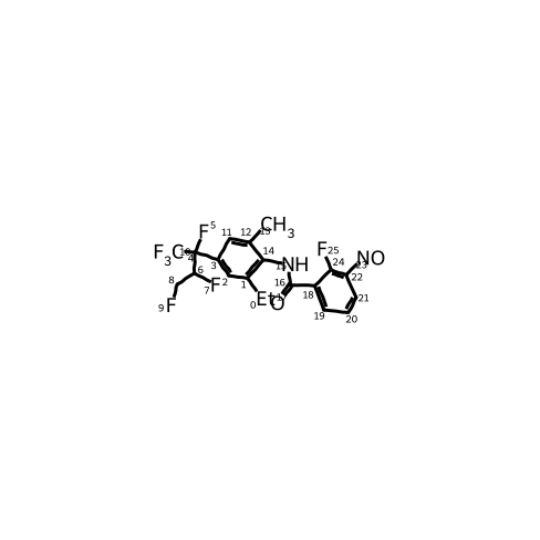 CCc1cc(C(F)(C(F)CF)C(F)(F)F)cc(C)c1NC(=O)c1cccc(N=O)c1F